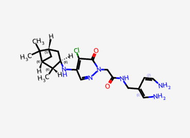 C[C@@H]1[C@H]2C[C@@H](C[C@H]1Nc1cnn(CC(=O)NCC(/C=C\N)=C/N)c(=O)c1Cl)C2(C)C